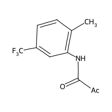 CC(=O)C(=O)Nc1cc(C(F)(F)F)ccc1C